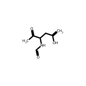 C=C(O)CC(NC=O)C(C)=O